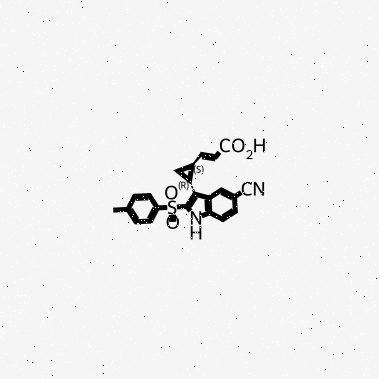 Cc1ccc(S(=O)(=O)c2[nH]c3ccc(C#N)cc3c2[C@@H]2C[C@H]2C=CC(=O)O)cc1